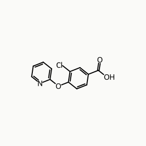 O=C(O)c1ccc(Oc2ccccn2)c(Cl)c1